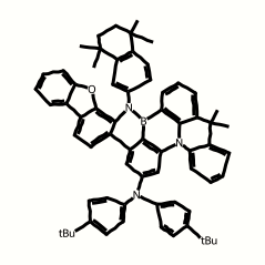 CC(C)(C)c1ccc(N(c2ccc(C(C)(C)C)cc2)c2cc3c4c(c2)N2c5ccccc5C(C)(C)c5cccc(c52)B4N(c2ccc4c(c2)C(C)(C)CCC4(C)C)c2c-3ccc3c2oc2ccccc23)cc1